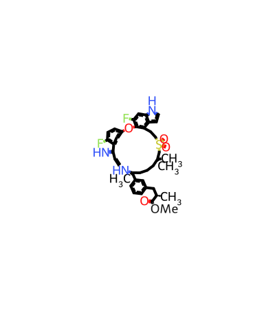 COC(=O)[C@H](C)Cc1cccc(C2(C)CCCC(C)(C)CS(=O)(=O)CCc3c(c(F)cc4[nH]ccc34)Oc3ccc(F)c(c3)C(=N)/C=C\N2)c1